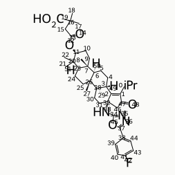 CC(C)C1=C2[C@H]3CC[C@@H]4[C@@]5(C)CC[C@H](OC(=O)CC(C)(C)C(=O)O)C(C)(C)[C@@H]5CC[C@@]4(C)[C@]3(C)CC[C@@]2(Nc2nnc(-c3ccc(F)cc3)o2)CC1=O